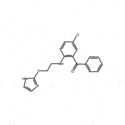 O=C(c1ccccc1)c1cc(Cl)ccc1NCCSc1ncc[nH]1